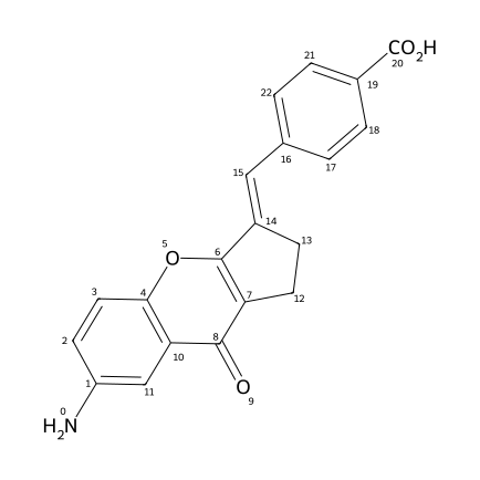 Nc1ccc2oc3c(c(=O)c2c1)CC/C3=C\c1ccc(C(=O)O)cc1